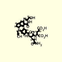 C#CCN(c1ccc(C(=O)N[C@H](CCC(N)=O)C(=O)N[C@H](CCC(=O)O)C(=O)O)cc1)[C@H]1CCc2cc3nc(CO)[nH]c(=O)c3cc21